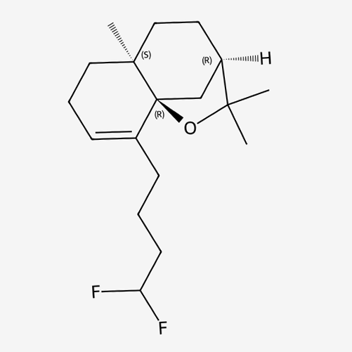 CC1(C)O[C@]23C[C@H]1CC[C@]2(C)CCC=C3CCCC(F)F